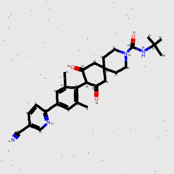 Cc1cc(-c2ccc(C#N)cn2)cc(C)c1C1C(=O)CC2(CCN(C(=O)NC(C)(C)C)CC2)CC1=O